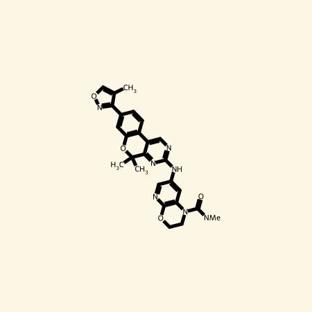 CNC(=O)N1CCOc2ncc(Nc3ncc4c(n3)C(C)(C)Oc3cc(-c5nocc5C)ccc3-4)cc21